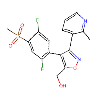 Cc1ncccc1-c1noc(CO)c1-c1cc(F)c(S(C)(=O)=O)cc1F